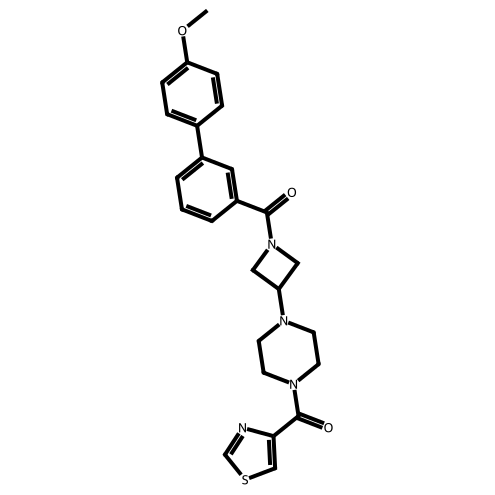 COc1ccc(-c2cccc(C(=O)N3CC(N4CCN(C(=O)c5cscn5)CC4)C3)c2)cc1